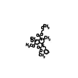 CCOC(=O)N(Cc1ccccc1)[C@@H]1C[C@H](C)N(C(=O)OCCOC)c2cc(OC)c(OC)cc21